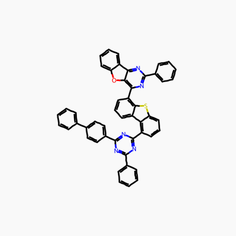 c1ccc(-c2ccc(-c3nc(-c4ccccc4)nc(-c4cccc5sc6c(-c7nc(-c8ccccc8)nc8c7oc7ccccc78)cccc6c45)n3)cc2)cc1